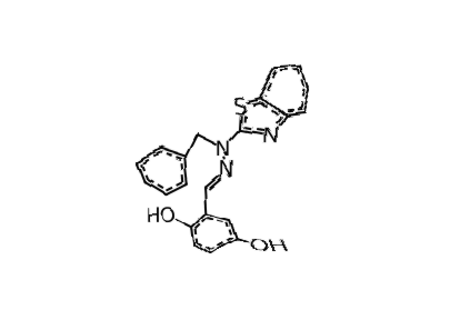 Oc1ccc(O)c(/C=N/N(Cc2ccccc2)c2nc3ccccc3s2)c1